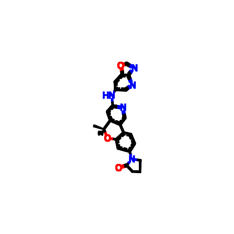 C[C@@H]1Oc2cc(N3CCCC3=O)ccc2-c2cnc(Nc3cnc4ncoc4c3)cc21